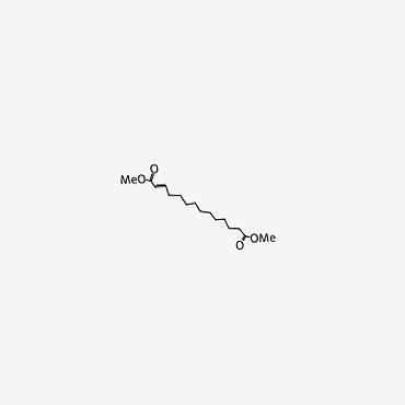 COC(=O)C=CCCCCCCCCCCC(=O)OC